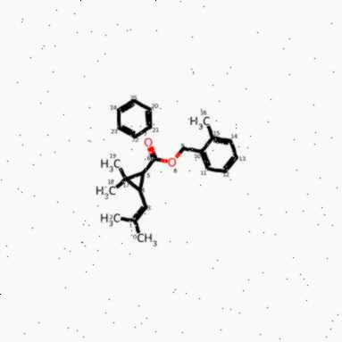 CC(C)=CC1C(C(=O)OCc2ccccc2C)C1(C)C.[c]1ccccc1